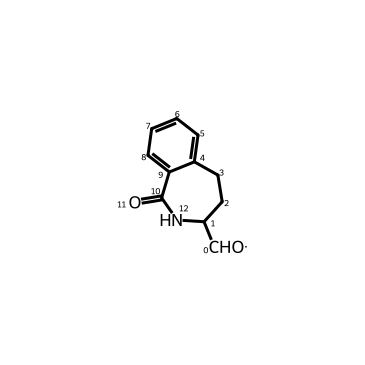 O=[C]C1CCc2ccccc2C(=O)N1